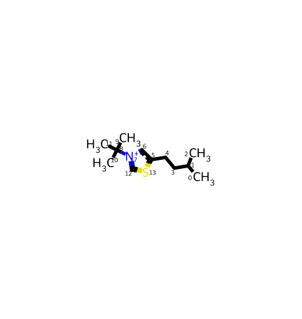 CC(C)CCc1c[n+](C(C)(C)C)cs1